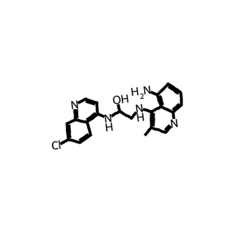 Cc1cnc2cccc(N)c2c1NCC(O)Nc1ccnc2cc(Cl)ccc12